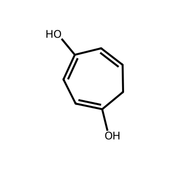 OC1=CC=C(O)CC=C1